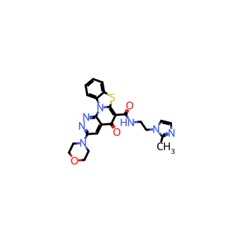 Cc1nccn1CCNC(=O)c1c(=O)c2cc(N3CCOCC3)nnc2n2c1sc1ccccc12